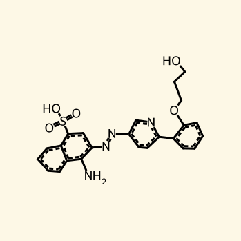 Nc1c(N=Nc2ccc(-c3ccccc3OCCCO)nc2)cc(S(=O)(=O)O)c2ccccc12